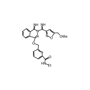 CCNC(=O)c1cccc(COc2nn(C(=N)c3cc(COC)on3)c(=N)c3ccccc23)n1